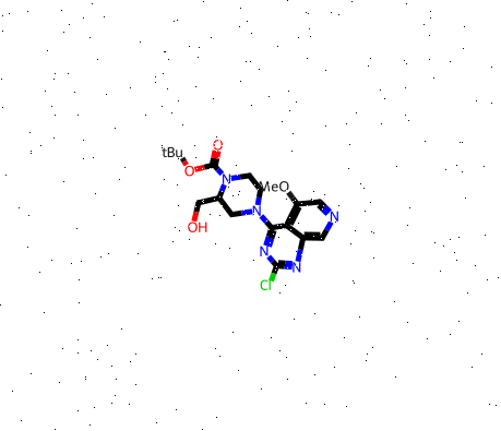 COc1cncc2nc(Cl)nc(N3CCN(C(=O)OC(C)(C)C)C(CO)C3)c12